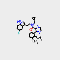 Cc1cccc(-c2nccnc2C(=O)N(CCc2c[nH]c3ccc(F)cc23)CC2CC2)c1C